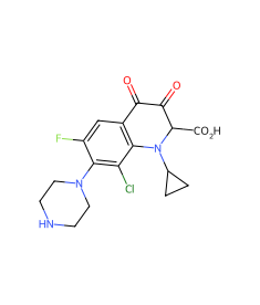 O=C1C(=O)C(C(=O)O)N(C2CC2)c2c1cc(F)c(N1CCNCC1)c2Cl